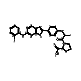 C[C@H](Oc1ccc(-c2nc3cnc(Oc4ccccc4F)nc3o2)cc1)C(=O)N1CCCC1C(=O)O